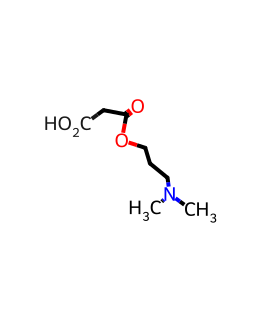 CN(C)CCCOC(=O)CC(=O)O